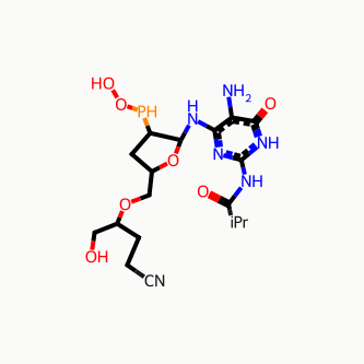 CC(C)C(=O)Nc1nc(NC2OC(COC(CO)CCC#N)CC2POO)c(N)c(=O)[nH]1